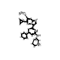 COc1cc2ncc(-c3cc(-c4ccccc4)cc(N[C@@H]4CCCNC4)n3)n2nc1C1CC1